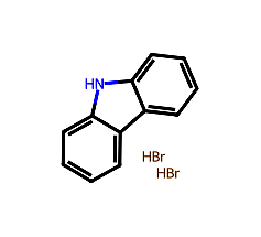 Br.Br.c1ccc2c(c1)[nH]c1ccccc12